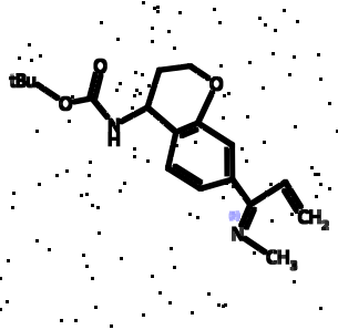 C=C/C(=N\C)c1ccc2c(c1)OCCC2NC(=O)OC(C)(C)C